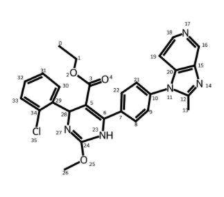 CCOC(=O)C1=C(c2ccc(-n3c(C)nc4cnccc43)cc2)NC(OC)=NC1c1ccccc1Cl